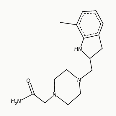 Cc1cccc2c1NC(CN1CCN(CC(N)=O)CC1)C2